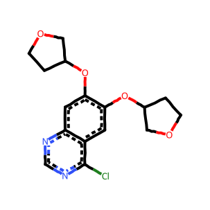 Clc1ncnc2cc(OC3CCOC3)c(OC3CCOC3)cc12